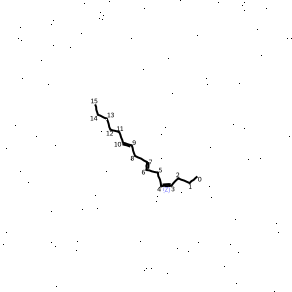 CCC/C=C\CC=CCC=CCCCCC